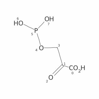 O=C(O)C(=O)COP(O)O